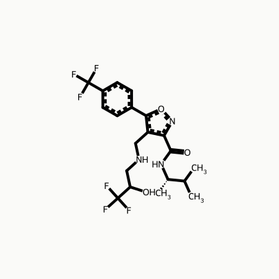 CC(C)[C@H](C)NC(=O)c1noc(-c2ccc(C(F)(F)F)cc2)c1CNCC(O)C(F)(F)F